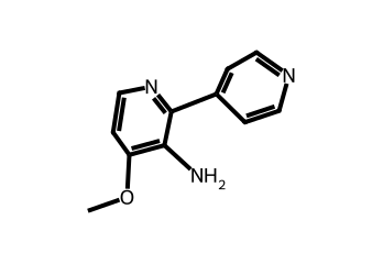 COc1ccnc(-c2ccncc2)c1N